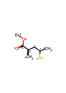 C=C(CC(C)S)C(=O)OCC